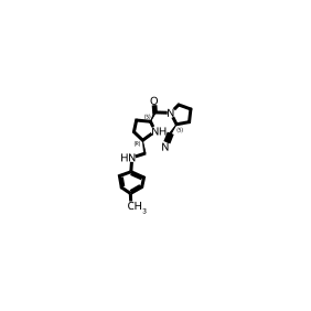 Cc1ccc(NC[C@H]2CC[C@@H](C(=O)N3CCC[C@H]3C#N)N2)cc1